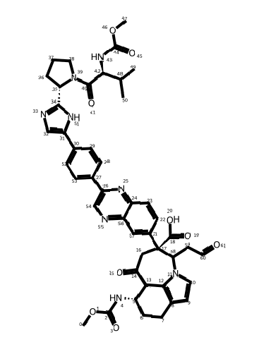 COC(=O)N[C@H]1CCc2ccn3c2C1C(=O)C[C@](C(=O)O)(c1ccc2nc(-c4ccc(-c5cnc([C@@H]6CCCN6C(=O)[C@@H](NC(=O)OC)C(C)C)[nH]5)cc4)cnc2c1)C3CC=O